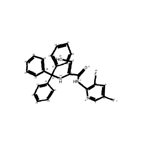 O=C(Nc1ncc(F)cc1F)C(=CO)NC(c1ccccc1)(c1ccccc1)c1ccccc1